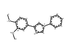 COc1ccc(-c2cn(-c3ccccc3)cn2)cc1OC